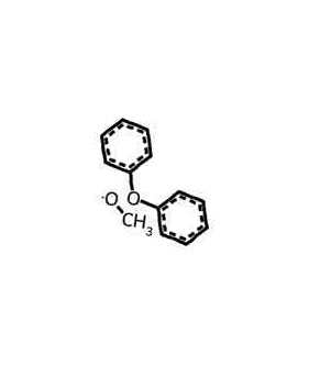 C[O].c1ccc(Oc2ccccc2)cc1